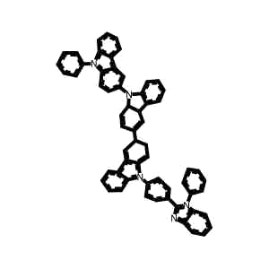 C1=CC2C(C=C1C1C=c3c(n(-c4ccc(-c5nc6ccccc6n5-c5ccccc5)cc4)c4ccccc34)=CC1)c1ccccc1N2c1ccc2c(c1)c1ccccc1n2-c1ccccc1